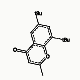 Cc1cc(=O)c2cc(C(C)(C)C)cc(C(C)(C)C)c2o1